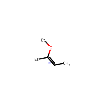 C/C=C(/CC)OCC